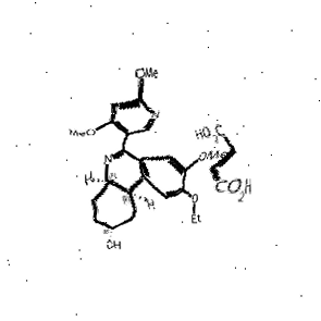 CCOc1cc2c(cc1OC)C(c1cnc(OC)cc1OC)=N[C@@H]1CC[C@@H](O)C[C@H]21.O=C(O)C=CC(=O)O